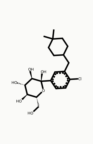 CC1(C)CCC(Cc2cc([C@]3(O)O[C@H](CO)[C@@H](O)[C@H](O)[C@H]3O)ccc2Cl)CC1